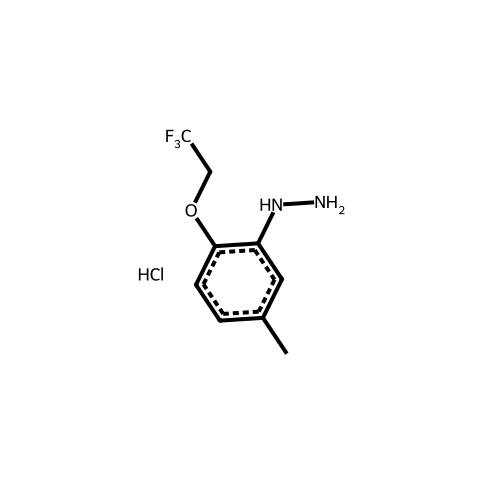 Cc1ccc(OCC(F)(F)F)c(NN)c1.Cl